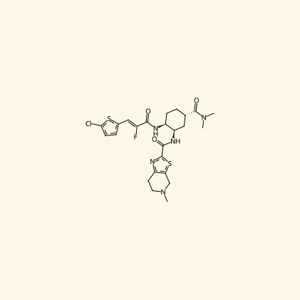 CN1CCc2nc(C(=O)N[C@@H]3C[C@@H](C(=O)N(C)C)CC[C@@H]3NC(=O)C(F)=Cc3ccc(Cl)s3)sc2C1